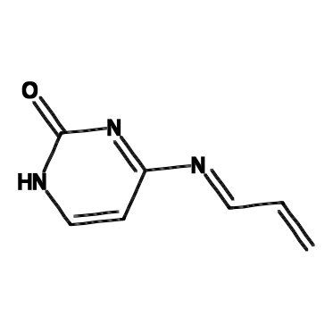 C=CC=Nc1cc[nH]c(=O)n1